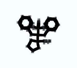 O=C(O)C1(C(Cc2ccccc2)(Cc2ccccc2)P(=O)(O)O)CCCC1